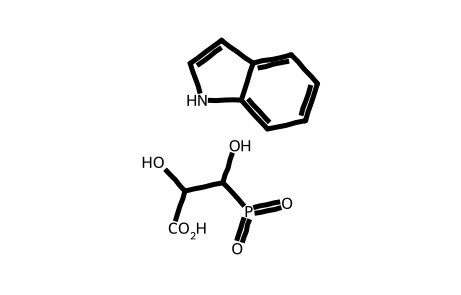 O=C(O)C(O)C(O)P(=O)=O.c1ccc2[nH]ccc2c1